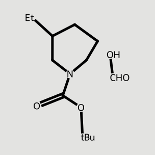 CCC1CCCN(C(=O)OC(C)(C)C)C1.O=CO